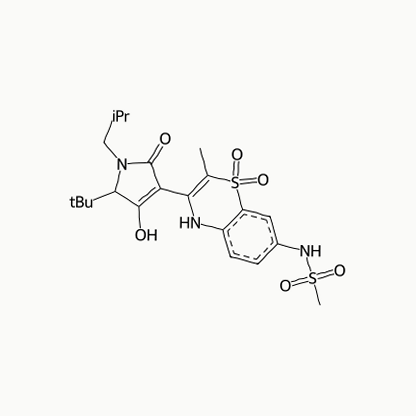 CC1=C(C2=C(O)C(C(C)(C)C)N(CC(C)C)C2=O)Nc2ccc(NS(C)(=O)=O)cc2S1(=O)=O